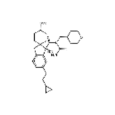 C=C(N)N(CC1CCOCC1)C(=O)C1(N)c2cc(CCC3CC3)ccc2CC12CCC(OC)CC2